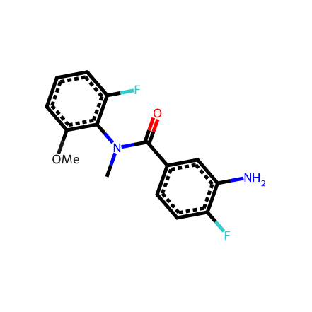 COc1cccc(F)c1N(C)C(=O)c1ccc(F)c(N)c1